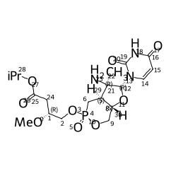 CO[C@@H](COP1(=O)C[C@@H]2[C@@H](CO1)O[C@@H](n1ccc(=O)[nH]c1=O)[C@]2(C)N)CC(=O)OC(C)C